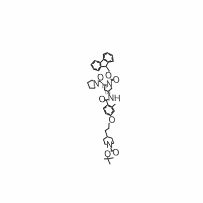 Cc1cc(OCCCC2CCN(C(=O)OC(C)(C)C)CC2)ccc1C(=O)N[C@H]1C[C@@H](C(=O)N2CCCC2)N(C(=O)OCC2c3ccccc3-c3ccccc32)C1